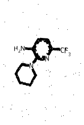 Nc1ccc(C(F)(F)F)nc1N1CCCCC1